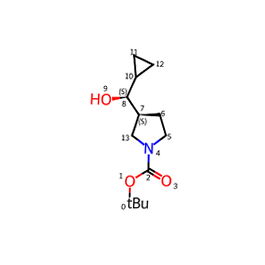 CC(C)(C)OC(=O)N1CC[C@H]([C@@H](O)C2CC2)C1